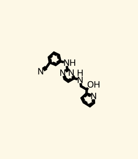 N#Cc1cccc(Nc2nccc(NCC(O)c3ccccn3)n2)c1